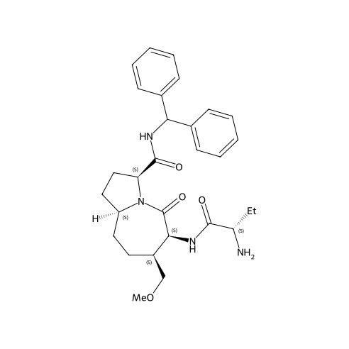 CC[C@H](N)C(=O)N[C@@H]1C(=O)N2[C@@H](CC[C@@H]1COC)CC[C@H]2C(=O)NC(c1ccccc1)c1ccccc1